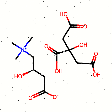 C[N+](C)(C)C[C@H](O)CC(=O)[O-].O=C(O)CC(O)(CC(=O)O)C(=O)O